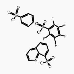 O=S(=O)(Cl)c1c(F)c(F)c(F)c(F)c1F.O=S(=O)(Cl)c1cccc2cccnc12.O=S(=O)(Cl)c1ccccc1